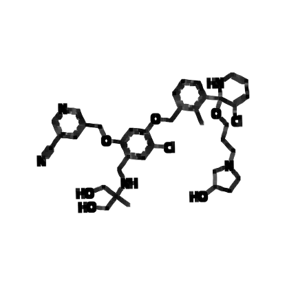 Cc1c(COc2cc(OCc3cncc(C#N)c3)c(CNC(C)(CO)CO)cc2Cl)cccc1C1(OCCCN2CCC(O)C2)NC=CC=C1Cl